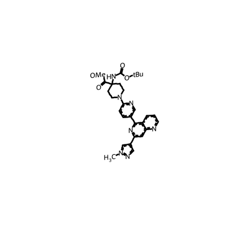 COC(=O)C1(NC(=O)OC(C)(C)C)CCN(c2ccc(-c3nc(-c4cnn(C)c4)cc4ncccc34)cn2)CC1